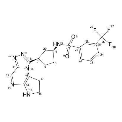 O=S(=O)(N[C@H]1CC[C@@H](c2nnc3cnc4c(n23)CCN4)C1)c1cccc(C(F)(F)F)c1